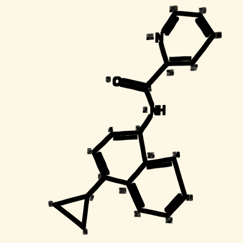 O=C(Nc1ccc(C2CC2)c2ccccc12)c1ccccn1